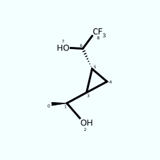 C[C@H](O)C1C[C@H]1C(O)C(F)(F)F